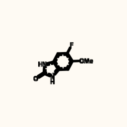 COc1cc2[nH]c(=O)[nH]c2cc1F